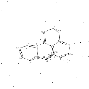 C1=CCC23C(=C1)C=CC=C2c1ccccc1-c1ccccc13